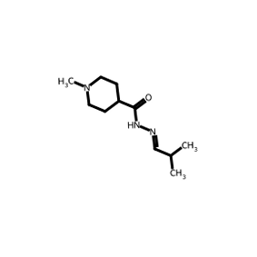 CC(C)/C=N/NC(=O)C1CCN(C)CC1